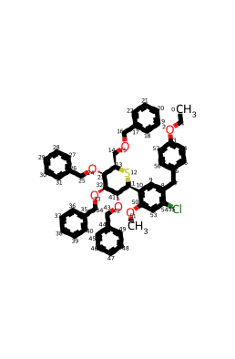 CCOc1ccc(Cc2cc([C@@H]3S[C@H](COCc4ccccc4)[C@@H](OCc4ccccc4)[C@H](OCc4ccccc4)[C@H]3OCc3ccccc3)c(OC)cc2Cl)cc1